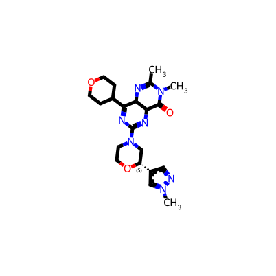 CC1=NC2C(C3CCOCC3)=NC(N3CCO[C@@H](c4cnn(C)c4)C3)=NC2C(=O)N1C